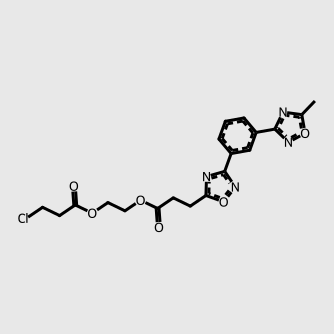 Cc1nc(-c2cccc(-c3noc(CCC(=O)OCCOC(=O)CCCl)n3)c2)no1